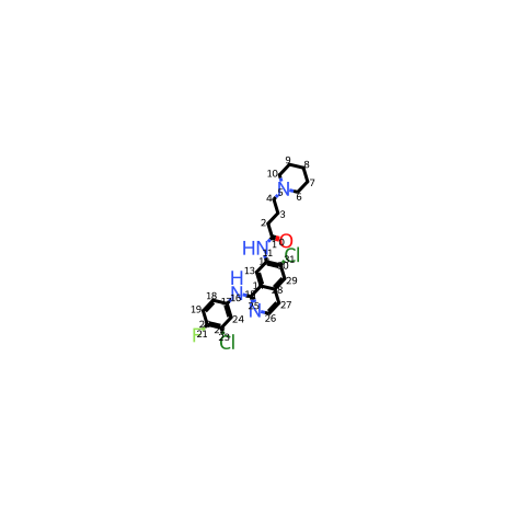 O=C(CCCN1CCCCC1)Nc1cc2c(Nc3ccc(F)c(Cl)c3)nccc2cc1Cl